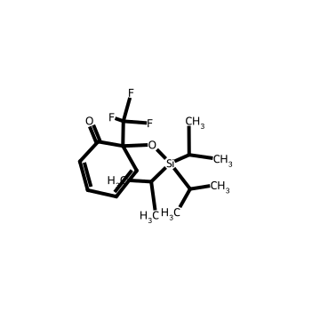 CC(C)[Si](OC1(C(F)(F)F)C=CC=CC1=O)(C(C)C)C(C)C